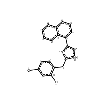 Clc1ccc(Cc2nc(-c3cccc4ccccc34)c[nH]2)c(Cl)c1